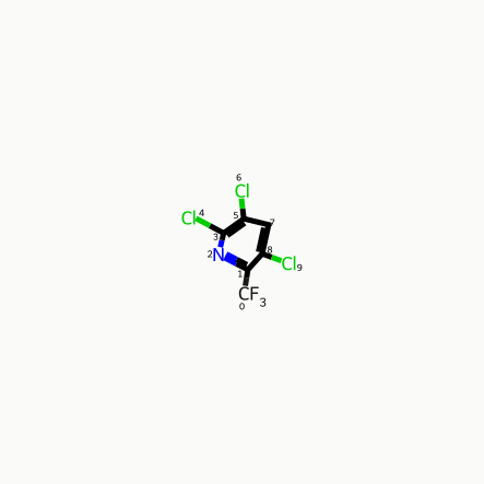 FC(F)(F)c1nc(Cl)c(Cl)cc1Cl